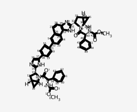 COC(=O)N[C@@H](C(=O)N1[C@@H]2C[C@@H]2C[C@H]1c1ncc(-c2ccc(-c3ccc4c(ccc5nc([C@@H]6C[C@H]7C[C@H]7N6C(=O)[C@H](NC(=O)OC)c6ccccc6)[nH]c54)c3)cc2)[nH]1)c1ccccc1